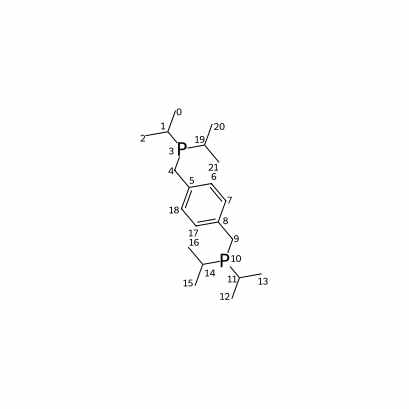 CC(C)P(Cc1ccc(CP(C(C)C)C(C)C)cc1)C(C)C